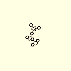 c1ccc(-c2nc(-c3ccccc3)nc(-c3ccc(N4c5ccccc5Sc5cc(N6c7ccccc7CCc7ccccc76)ccc54)cc3)n2)cc1